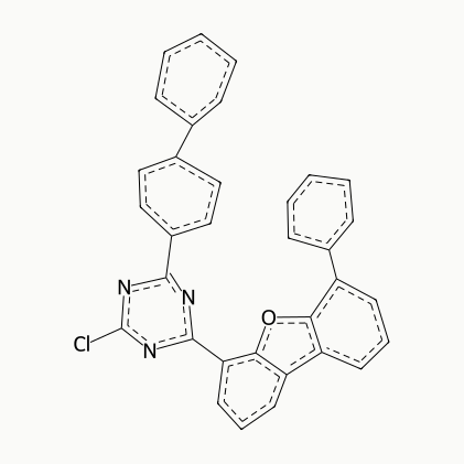 Clc1nc(-c2ccc(-c3ccccc3)cc2)nc(-c2cccc3c2oc2c(-c4ccccc4)cccc23)n1